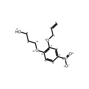 C=CCOc1cc([N+](=O)[O-])ccc1OCCCO